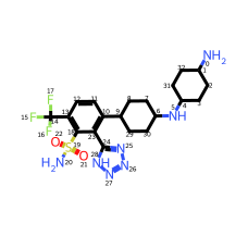 NC1CCC(NC2CCC(c3ccc(C(F)(F)F)c(S(N)(=O)=O)c3-c3nnn[nH]3)CC2)CC1